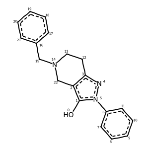 Oc1c2c(nn1-c1ccccc1)CCN(Cc1ccccc1)C2